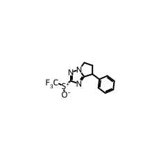 [O-][S+](c1nc2n(n1)CCC2c1ccccc1)C(F)(F)F